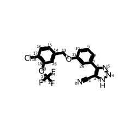 N#Cc1[nH]nnc1-c1cccc(OCc2ccc(Cl)c(OC(F)(F)F)c2)c1